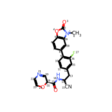 Cn1c(=O)oc2ccc(-c3ccc(CC(C#N)NC(=O)[C@@H]4C=NC=CO4)cc3F)cc21